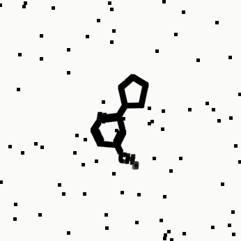 Cc1ccnc(C2CCCC2)c1